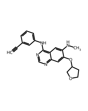 C#Cc1cccc(Nc2ncnc3cc(OC4CCOC4)c(NC)cc23)c1